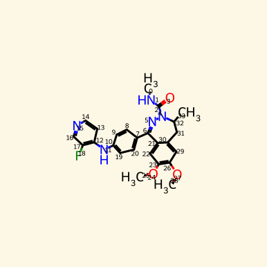 CNC(=O)N1N=C(c2ccc(Nc3ccncc3F)cc2)c2cc(OC)c(OC)cc2CC1C